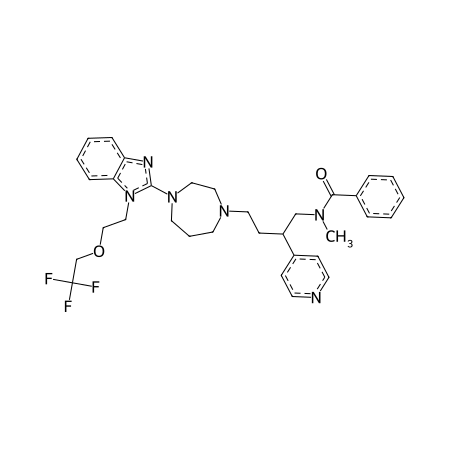 CN(CC(CCN1CCCN(c2nc3ccccc3n2CCOCC(F)(F)F)CC1)c1ccncc1)C(=O)c1ccccc1